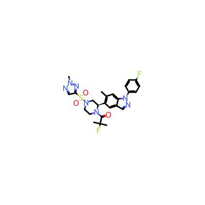 Cc1cc2c(cnn2-c2ccc(F)cc2)cc1[C@@H]1CN(S(=O)(=O)c2cnn(C)n2)CCN1C(=O)C(C)(C)F